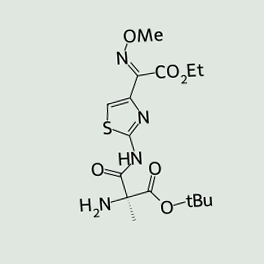 CCOC(=O)C(=NOC)c1csc(NC(=O)[C@](C)(N)C(=O)OC(C)(C)C)n1